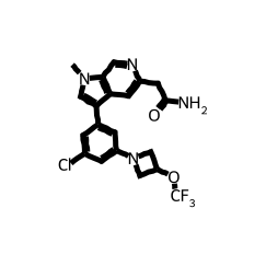 Cn1cc(-c2cc(Cl)cc(N3CC(OC(F)(F)F)C3)c2)c2cc(CC(N)=O)ncc21